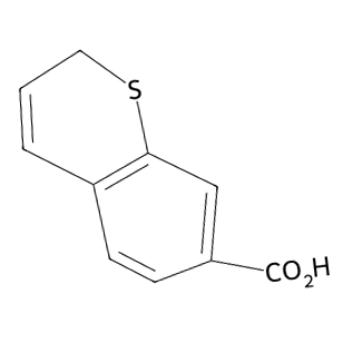 O=C(O)c1ccc2c(c1)SCC=C2